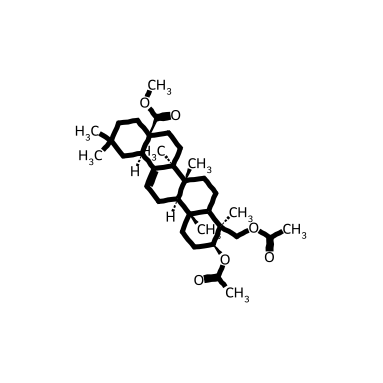 COC(=O)[C@]12CCC(C)(C)C[C@@H]1C1=CC[C@@H]3[C@@]4(C)CC[C@H](OC(C)=O)[C@](C)(COC(C)=O)C4CC[C@@]3(C)[C@]1(C)CC2